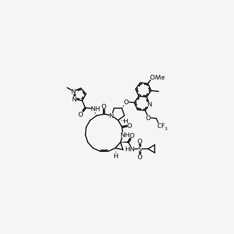 COc1ccc2c(O[C@@H]3C[C@H]4C(=O)N[C@]5(C(=O)NS(=O)(=O)C6CC6)C[C@H]5/C=C\CCCCC[C@H](NC(=O)c5ccn(C)n5)C(=O)N4C3)cc(OCC(F)(F)F)nc2c1C